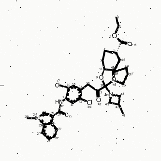 CCOC(=O)[C@H]1CC[C@H](OC(C(=O)Cc2cc(Cl)c(NC(=O)c3cn(C)c4ccccc34)cc2Cl)(N2CCCC2)N2CC(C)C2)CC1